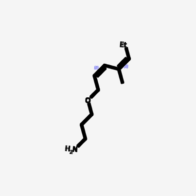 CC/C=C(C)\C=C/COCCCN